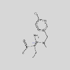 CC/C(=C(/N)N(C)Cc1ccc(Cl)nc1)[N+](=O)[O-]